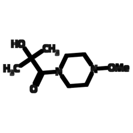 CON1CCN(C(=O)C(C)(C)O)CC1